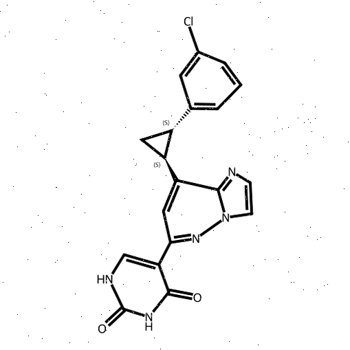 O=c1[nH]cc(-c2cc([C@H]3C[C@@H]3c3cccc(Cl)c3)c3nccn3n2)c(=O)[nH]1